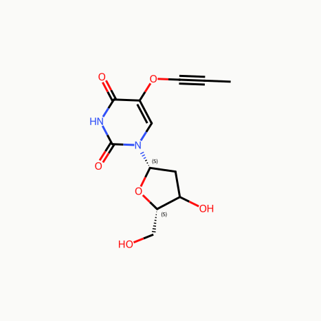 CC#COc1cn([C@@H]2CC(O)[C@H](CO)O2)c(=O)[nH]c1=O